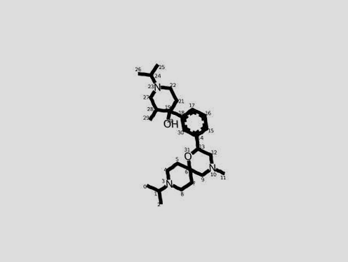 CC(C)N1CCC2(CC1)CN(C)CC(c1cccc(C3(O)CCN(C(C)C)CC3C)c1)O2